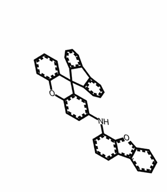 c1ccc2c(c1)Oc1ccc(Nc3cccc4c3oc3ccccc34)cc1C21c2ccccc2-c2ccccc21